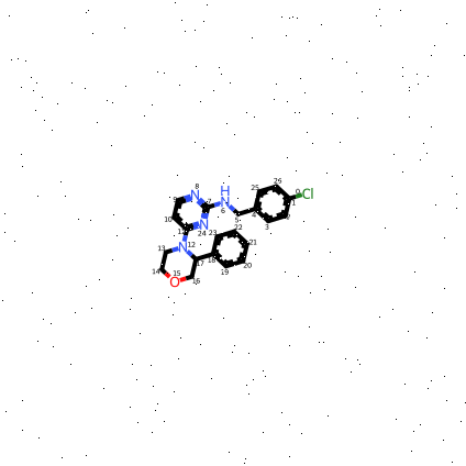 Clc1ccc(CNc2nccc(N3CCOCC3c3ccccc3)n2)cc1